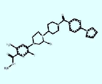 CC[C@H]1CN(c2nc(N)c(C(=O)NN)nc2Cl)CCN1C1CCN(C(=O)c2ccc(-n3cccc3)nc2)CC1